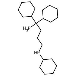 PC(CCCPC1CCCCC1)(C1CCCCC1)C1CCCCC1